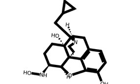 ON[C@H]1CC[C@@]2(O)[C@H]3Cc4ccc(O)c5c4[C@@]2(CCN3CC2CC2)[C@H]1O5